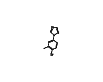 Cc1cc(-n2cncn2)ccc1Br